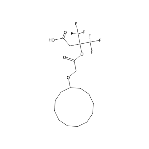 O=C(O)CC(OC(=O)COC1CCCCCCCCCCC1)(C(F)(F)F)C(F)(F)F